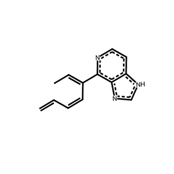 C=C/C=C\C(=C/C)c1nccc2[nH]cnc12